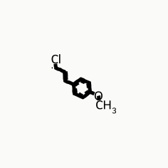 COc1ccc(C=C[CH]Cl)cc1